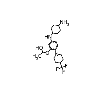 CC(O)Oc1cc(NC2CCC(N)CC2)ccc1N1CCC(C(F)(F)F)CC1